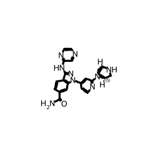 NC(=O)c1ccc2c(Nc3cnccn3)nn(-c3ccnc(N4C[C@@H]5C[C@H]4CN5)c3)c2c1